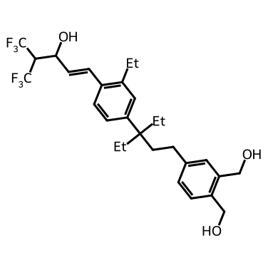 CCc1cc(C(CC)(CC)CCc2ccc(CO)c(CO)c2)ccc1/C=C/C(O)C(C(F)(F)F)C(F)(F)F